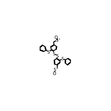 O=[S+]Cc1ccc(SSc2ccc(C[S+]=O)cc2Sc2ccccc2)c(Sc2ccccc2)c1